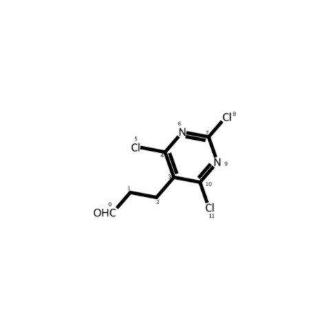 O=CCCc1c(Cl)nc(Cl)nc1Cl